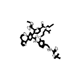 CCCNC(=O)c1ccc(-c2cc3c(cc2C(=O)Nc2ccc(CNC(=O)OC(C)(C)C)cc2OCCCC(C)C)-c2sccc2CCO3)c(C(=O)OC)n1